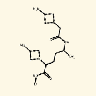 CCNC(=O)C(CCC(C)NC(=O)CN1CC(N)C1)N1CC(O)C1